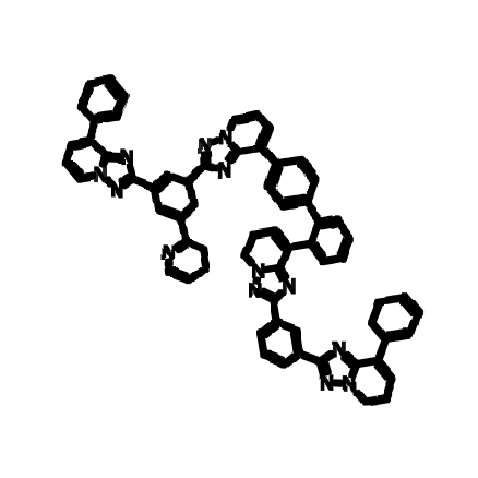 C1=CCCC(C2=CCCn3nc(-c4cccc(-c5nc6n(n5)CCC=C6c5ccccc5-c5ccc(-c6cccn7nc(C8C=C(c9nc%10c(-c%11ccccc%11)cccn%10n9)C=C(C9=NC=CCC9)C8)nc67)cc5)c4)nc32)=C1